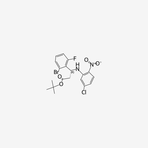 CC(C)(C)OC(=O)C[C@@H](Nc1cc(Cl)ccc1[N+](=O)[O-])c1c(F)cccc1Br